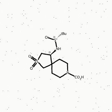 CC(C)(C)[S@@+]([O-])N[C@@H]1CS(=O)(=O)CC12CCN(C(=O)O)CC2